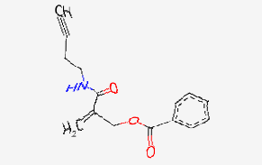 C#CCCNC(=O)C(=C)COC(=O)c1ccccc1